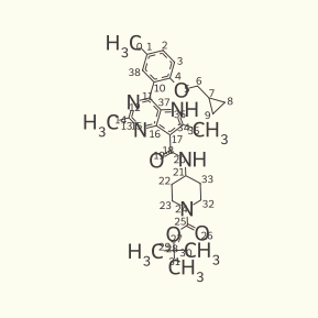 Cc1ccc(OCC2CC2)c(-c2nc(C)nc3c(C(=O)NC4CCN(C(=O)OC(C)(C)C)CC4)c(C)[nH]c23)c1